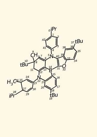 CC(C)c1ccc(N2C3=CC(C)(C(C)(C)C)CC4=C3B(c3ccc(C(C)(C)C)cc3N4C3=CC(C)C(C(C)C)C=C3)c3oc4ccc(C(C)(C)C)cc4c32)cc1